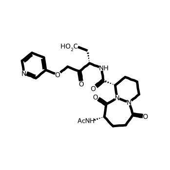 CC(=O)N[C@H]1CCC(=O)N2CCC[C@@H](C(=O)N[C@@H](CC(=O)O)C(=O)COc3cccnc3)N2C1=O